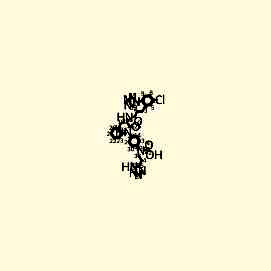 O=C(C=Cc1cc(Cl)ccc1-n1cnnn1)N[C@@H](Cc1ccccc1)C(=O)Nc1ccc(N(CCc2nnn[nH]2)C(=O)O)cc1